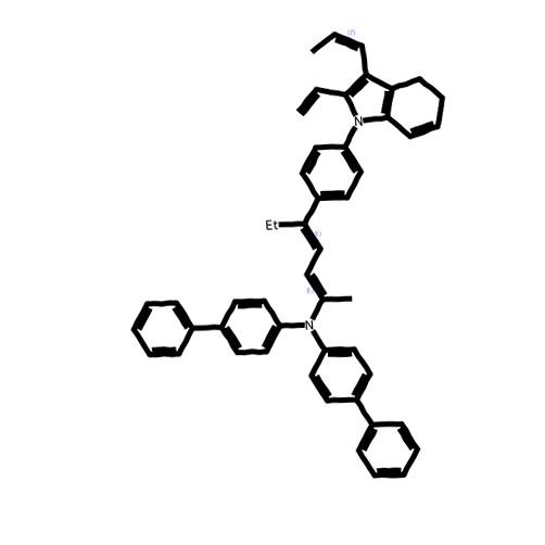 C=Cc1c(/C=C\C)c2c(n1-c1ccc(/C(=C/C=C(\C)N(c3ccc(-c4ccccc4)cc3)c3ccc(-c4ccccc4)cc3)CC)cc1)C=CCC2